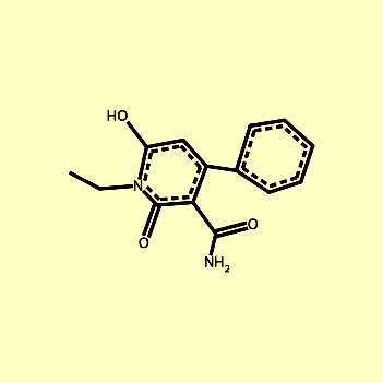 CCn1c(O)cc(-c2ccccc2)c(C(N)=O)c1=O